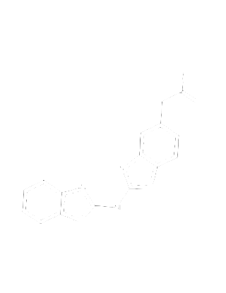 O=C(O)Cc1ccc2oc(Nc3nc4ccccc4o3)nc2c1